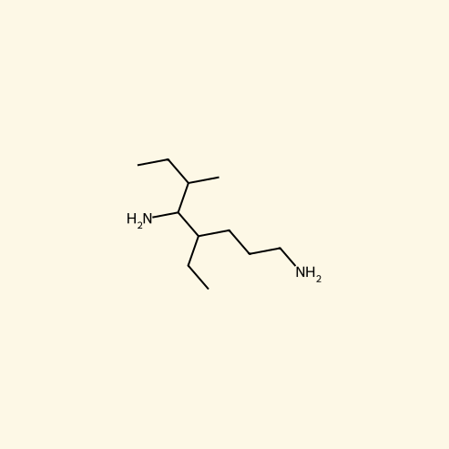 CCC(C)C(N)C(CC)CCCN